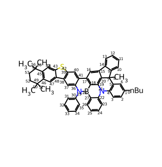 CCCCc1ccc2c(c1)C1(C)c3ccccc3-c3cc4c5c(c31)N2c1ccccc1B5N(c1ccccc1)c1cc2c(cc1-4)sc1cc3c(cc12)C(C)(C)CCC3(C)C